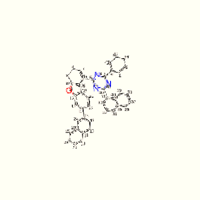 C1=CC(c2nc(C3=CCCc4oc5cc(-c6ccc7ccccc7c6)ccc5c43)nc(-c3cccc4ccccc34)n2)=CCC1